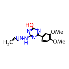 C=CCNNc1nc(O)nc(-c2ccc(OC)c(OC)c2)n1